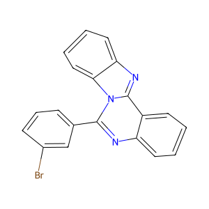 Brc1cccc(-c2nc3ccccc3c3nc4ccccc4n23)c1